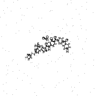 Cn1c(-c2cn(CCn3cccn3)nc2C(F)(F)F)cnc1C(=O)Nc1ccc(C(=O)N2CCN(C(=O)C3CCNCC3)CC2)c(Cl)c1.O=CO